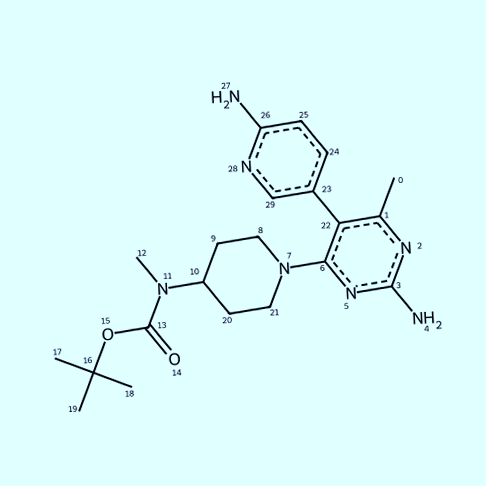 Cc1nc(N)nc(N2CCC(N(C)C(=O)OC(C)(C)C)CC2)c1-c1ccc(N)nc1